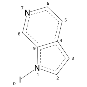 In1ccc2ccncc21